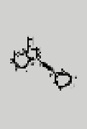 C(#Cc1n[nH]c2ncccc12)c1ccccn1